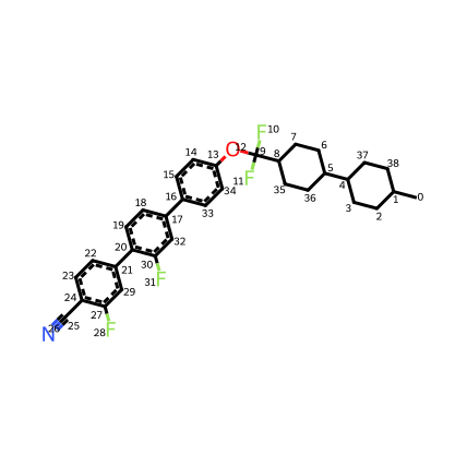 CC1CCC(C2CCC(C(F)(F)Oc3ccc(-c4ccc(-c5ccc(C#N)c(F)c5)c(F)c4)cc3)CC2)CC1